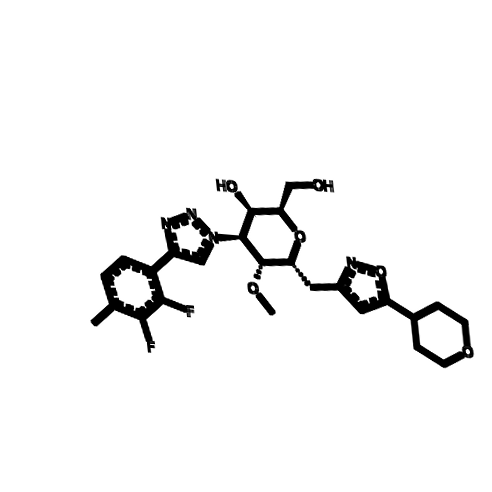 CO[C@@H]1[C@@H](n2cc(-c3ccc(C)c(F)c3F)nn2)[C@@H](O)[C@@H](CO)O[C@@H]1Cc1cc(C2CCOCC2)on1